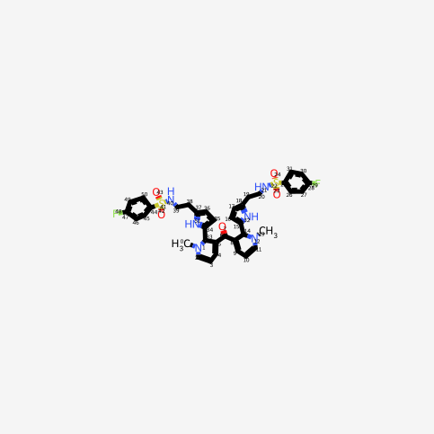 CN1C=CC=C(C(=O)C2=CC=CN(C)C2c2ccc(CCNS(=O)(=O)c3ccc(F)cc3)[nH]2)C1c1ccc(CCNS(=O)(=O)c2ccc(F)cc2)[nH]1